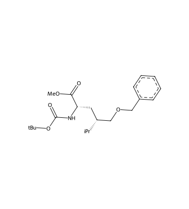 COC(=O)[C@H](C[C@H](COCc1ccccc1)C(C)C)NC(=O)OC(C)(C)C